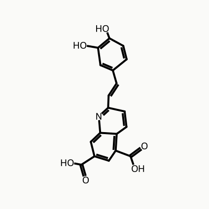 O=C(O)c1cc(C(=O)O)c2ccc(C=Cc3ccc(O)c(O)c3)nc2c1